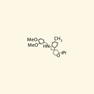 COc1ccc(CNCCC2(c3ccc(C)cc3)CCOC(C(C)C)C2)cc1OC